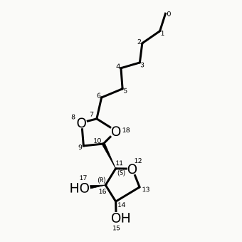 CCCCCCCC1OCC([C@H]2OCC(O)[C@H]2O)O1